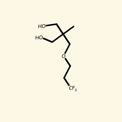 CC(CO)(CO)COCCC(F)(F)F